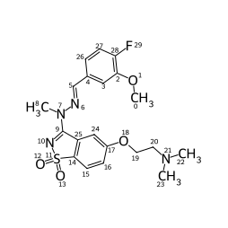 COc1cc(/C=N/N(C)C2=NS(=O)(=O)c3ccc(OCCN(C)C)cc32)ccc1F